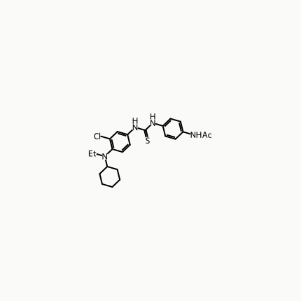 CCN(c1ccc(NC(=S)Nc2ccc(NC(C)=O)cc2)cc1Cl)C1CCCCC1